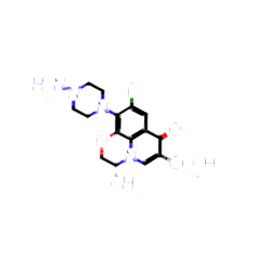 C[C@@H]1COc2c(N3CCN(N)CC3)c(F)cc3c(=O)c(C(=O)O)cn1c23